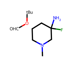 CC(C)(C)OC=O.CN1CCCC(N)(F)C1